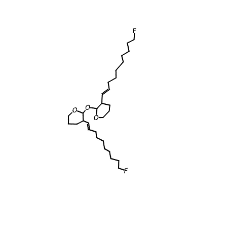 FCCCCCCCCC=CC1CCCOC1OC1OCCCC1C=CCCCCCCCCF